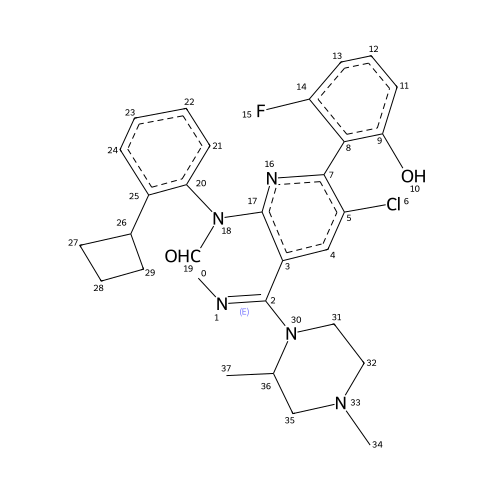 C/N=C(\c1cc(Cl)c(-c2c(O)cccc2F)nc1N(C=O)c1ccccc1C1CCC1)N1CCN(C)CC1C